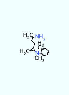 C=C(N)CCC1C(=C)C1N(C)c1ccccc1C